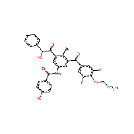 CC(C)c1c(C(=O)c2cc(I)c(OCC(=O)O)c(I)c2)cc(NC(=O)c2ccc(O)cc2)cc1C(=O)C(O)c1ccccc1